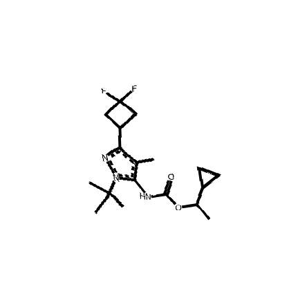 Cc1c(C2CC(F)(F)C2)nn(C(C)(C)C)c1NC(=O)OC(C)C1CC1